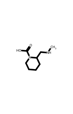 CNCC1CCCCN1C(=O)O